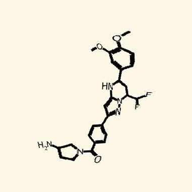 COc1ccc(C2CC(C(F)F)n3nc(-c4ccc(C(=O)N5CCC(N)C5)cc4)cc3N2)cc1OC